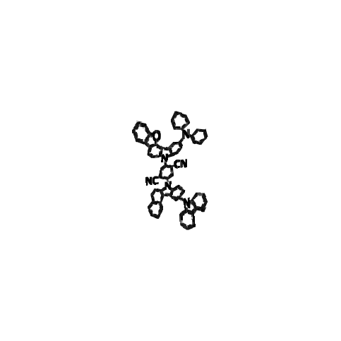 N#Cc1cc(-n2c3ccc(N(c4ccccc4)c4ccccc4)cc3c3c4oc5ccccc5c4ccc32)c(C#N)cc1-n1c2ccc(-n3c4ccccc4c4ccccc43)cc2c2c3ccccc3ccc21